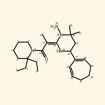 CCC1(CC)CCCCN1C(=O)/C(C)=C1\NC(C2=CCCCC=C2)CC(C)(C)N1N